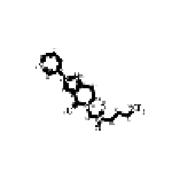 O=C1c2cn(-c3cccnc3)nc2CCN1CS(=O)(=O)CCCC(F)(F)F